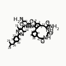 Cc1cc2cc(c1NC(=O)[C@H](CCN)NC(=O)c1c(C)nc(-c3ccc(CC(C)C)cc3)nc1C)-c1cccc(c1)CC(=O)NCC(=O)NC(C(N)=O)C2